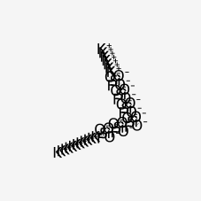 [K+].[K+].[K+].[K+].[K+].[K+].[K+].[K+].[K+].[K+].[K+].[K+].[K+].[K+].[K+].[K+].[K+].[K+].[O-][Si]([O-])([O-])F.[O-][Si]([O-])([O-])F.[O-][Si]([O-])([O-])F.[O-][Si]([O-])([O-])F.[O-][Si]([O-])([O-])F.[O-][Si]([O-])([O-])F